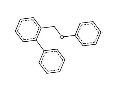 [c]1ccc(OCc2ccccc2-c2ccccc2)cc1